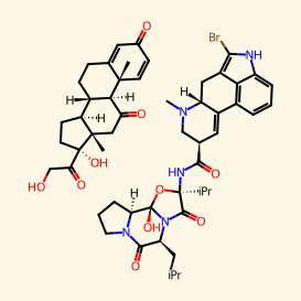 CC(C)C[C@H]1C(=O)N2CCC[C@H]2[C@]2(O)O[C@](NC(=O)[C@@H]3C=C4c5cccc6[nH]c(Br)c(c56)C[C@H]4N(C)C3)(C(C)C)C(=O)N12.C[C@]12C=CC(=O)C=C1CC[C@@H]1[C@@H]2C(=O)C[C@@]2(C)[C@H]1CC[C@]2(O)C(=O)CO